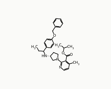 CCC(N[C@@H]1CCN(c2nccc(C)c2C(=O)OC(C)C)C1)c1ccc(OCc2ccccc2)cc1